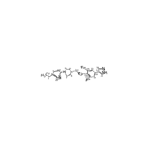 CCc1cnc(N2CCC(COc3c(F)cc(-c4cn[nH]c4)cc3F)CC2)nc1